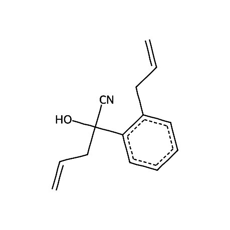 C=CCc1ccccc1C(O)(C#N)CC=C